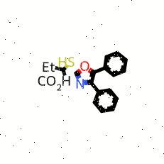 CCC(S)C(=O)O.c1ccc(-c2ncoc2-c2ccccc2)cc1